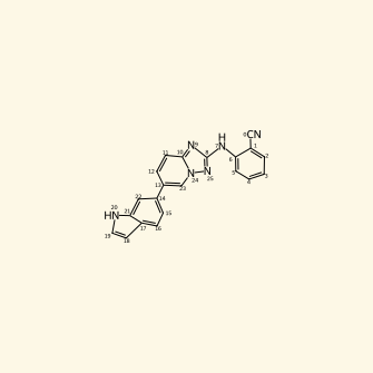 N#Cc1ccccc1Nc1nc2ccc(-c3ccc4cc[nH]c4c3)cn2n1